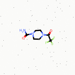 NC(=O)N1CCN(C(=O)C(F)(F)F)CC1